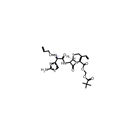 C=CCO/N=C(/C(=O)NC1C(=O)N2C(C(=O)OCOC(=O)C(C)(C)C)=C(C=C)CS[C@H]12)c1csc(N)n1